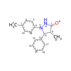 Cc1ccc(N2NC(=O)C(C)C2c2ccccc2)cc1